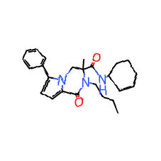 CCCCN1C(=O)c2ccc(-c3ccccc3)n2CC1(C)C(=O)NC1CCCCC1